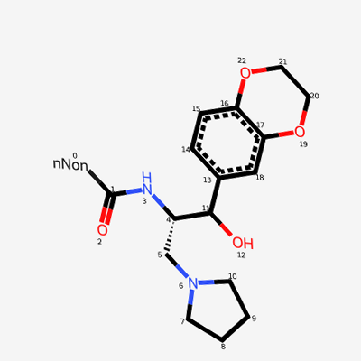 CCCCCCCCCC(=O)N[C@@H](CN1CCCC1)C(O)c1ccc2c(c1)OCCO2